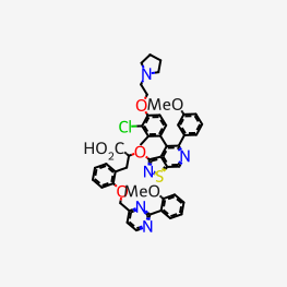 COc1cccc(-c2ncc3snc(OC(Cc4ccccc4OCc4ccnc(-c5ccccc5OC)n4)C(=O)O)c3c2-c2ccc(OCCN3CCCC3)c(Cl)c2C)c1